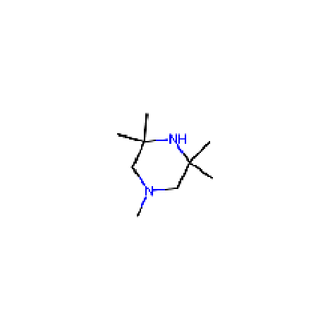 CN1CC(C)(C)NC(C)(C)C1